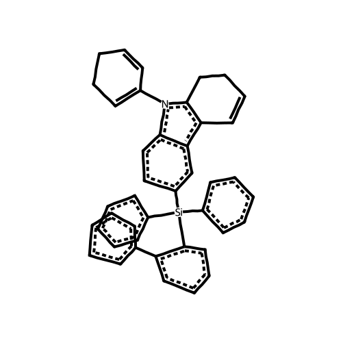 C1=CC(n2c3c(c4cc([Si](c5ccccc5)(c5ccccc5)c5ccccc5-c5ccccc5)ccc42)C=CCC3)=CCC1